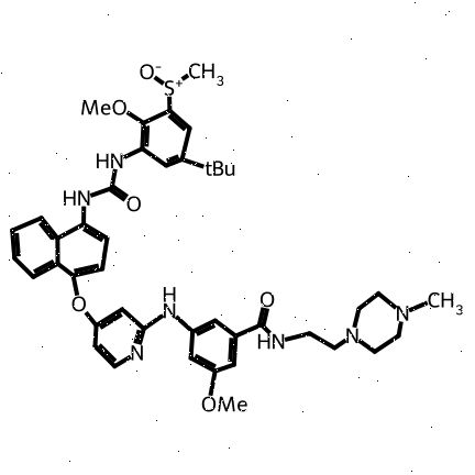 COc1cc(Nc2cc(Oc3ccc(NC(=O)Nc4cc(C(C)(C)C)cc([S+](C)[O-])c4OC)c4ccccc34)ccn2)cc(C(=O)NCCN2CCN(C)CC2)c1